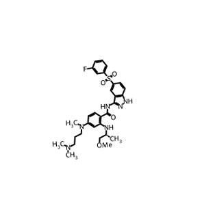 COC[C@H](C)Nc1cc(N(C)CCCN(C)C)ccc1C(=O)Nc1n[nH]c2ccc(S(=O)(=O)c3cccc(F)c3)cc12